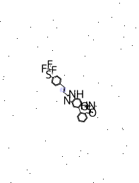 CNS(=O)(=O)c1ccccc1-c1ccc2[nH]c(/C=C/c3ccc(SC(F)(F)F)cc3)nc2c1